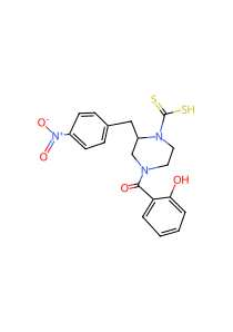 O=C(c1ccccc1O)N1CCN(C(=S)S)C(Cc2ccc([N+](=O)[O-])cc2)C1